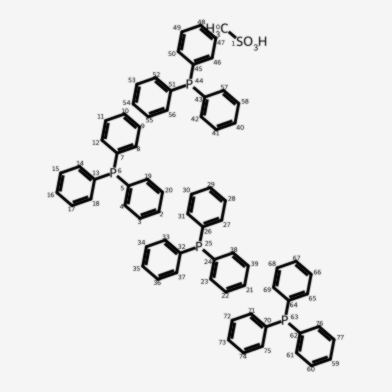 CS(=O)(=O)O.c1ccc(P(c2ccccc2)c2ccccc2)cc1.c1ccc(P(c2ccccc2)c2ccccc2)cc1.c1ccc(P(c2ccccc2)c2ccccc2)cc1.c1ccc(P(c2ccccc2)c2ccccc2)cc1